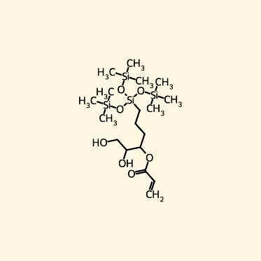 C=CC(=O)OC(CCC[Si](O[Si](C)(C)C)(O[Si](C)(C)C)O[Si](C)(C)C)C(O)CO